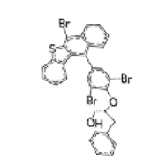 OC[C@@H](Cc1ccccc1)Oc1c(Br)cc(-c2c3ccccc3c(Br)c3sc4ccccc4c23)cc1Br